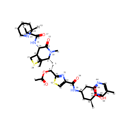 CC(=O)O[C@H](C[C@H](C(C)C)N(C)C(=O)[C@@H](NC(=O)[C@H]1CC2CCN1CC2)C1CSC1)c1nc(C(=O)N[C@@H](Cc2ncc(C)cn2)C[C@H](C)C(=O)O)cs1